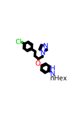 CCCCCCNc1ccc(OC(CCc2ccc(Cl)cc2)Cn2ccnc2)cc1